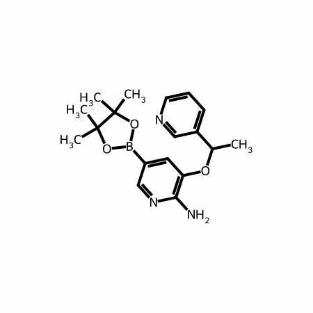 CC(Oc1cc(B2OC(C)(C)C(C)(C)O2)cnc1N)c1cccnc1